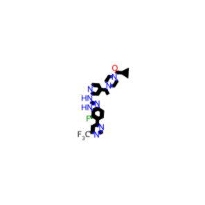 CC(c1ccnc(Nc2nc3ccc(-c4cc(C(F)(F)F)ncn4)c(F)c3[nH]2)c1)N1CCN(C(=O)C2CC2)CC1